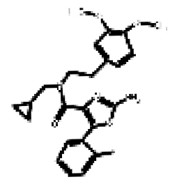 COc1ccc(CCN(CC2CC2)C(=O)c2nc(N)sc2-c2ccccc2F)cc1OC